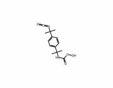 CC(C)(N=C=O)c1ccc(C(C)(C)NC(=O)OO)cc1